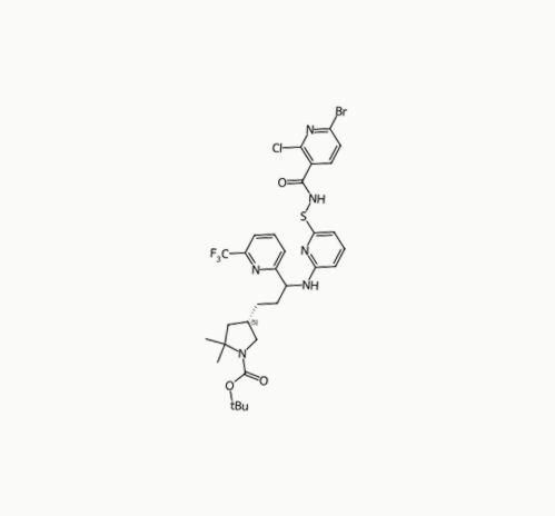 CC(C)(C)OC(=O)N1C[C@@H](CCC(Nc2cccc(SNC(=O)c3ccc(Br)nc3Cl)n2)c2cccc(C(F)(F)F)n2)CC1(C)C